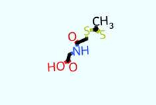 CC(=S)SCC(=O)NCC(=O)O